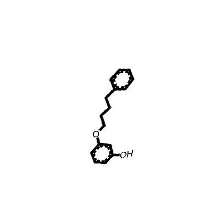 Oc1cccc(OCCCCc2ccccc2)c1